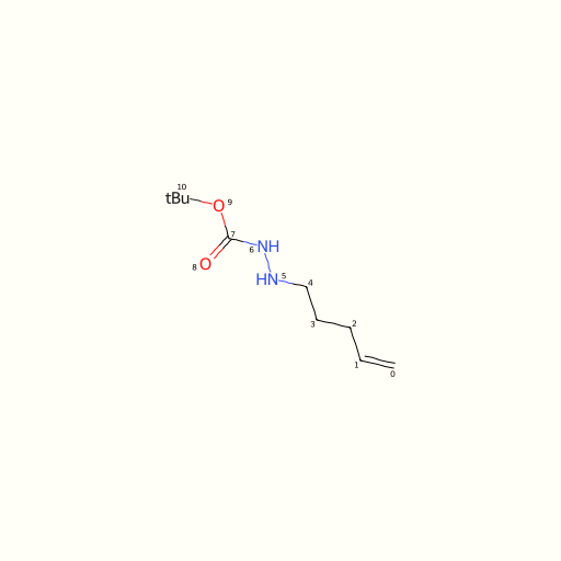 C=CCCCNNC(=O)OC(C)(C)C